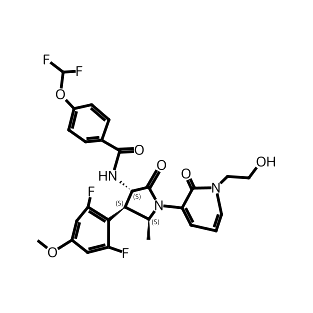 COc1cc(F)c([C@H]2[C@H](NC(=O)c3ccc(OC(F)F)cc3)C(=O)N(c3cccn(CCO)c3=O)[C@H]2C)c(F)c1